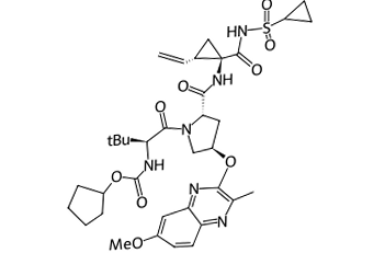 C=C[C@@H]1C[C@]1(NC(=O)[C@@H]1C[C@@H](Oc2nc3cc(OC)ccc3nc2C)CN1C(=O)[C@@H](NC(=O)OC1CCCC1)C(C)(C)C)C(=O)NS(=O)(=O)C1CC1